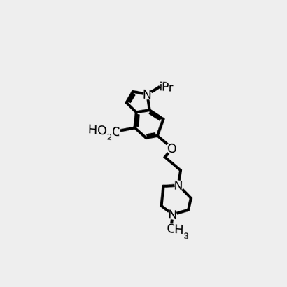 CC(C)n1ccc2c(C(=O)O)cc(OCCN3CCN(C)CC3)cc21